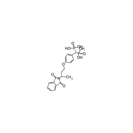 CC(CCOc1ccc(C(P(=O)(O)O)P(=O)(O)O)cc1)N1C(=O)c2ccccc2C1=O